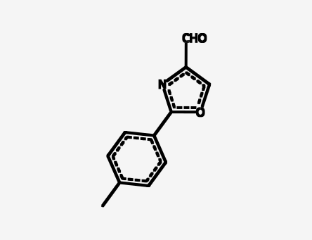 Cc1ccc(-c2nc(C=O)co2)cc1